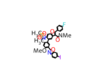 CNC(=O)c1c(-c2ccc(F)cc2)oc2cc(N(C)S(C)(=O)=O)c(-c3ccc(OC)c(-c4nc5ccc(I)cc5o4)c3)cc12